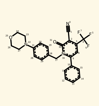 N#Cc1c(C(F)(F)F)cc(-c2ccccc2)n(Cc2ccc(N3CCOCC3)cc2)c1=O